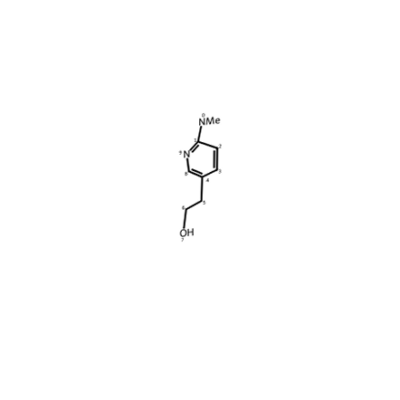 CNc1ccc(CCO)cn1